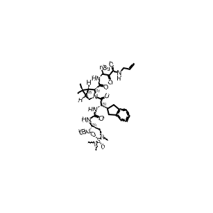 C=CCNC(=O)C(=O)C(CCCC)NC(=O)[C@@H]1[C@@H]2[C@H](CN1C(=O)[C@@H](NC(=O)N[C@H](CN(C)S(=O)(=O)N(C)C)C(C)(C)C)C1Cc3ccccc3C1)C2(C)C